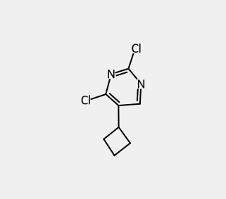 Clc1ncc(C2CCC2)c(Cl)n1